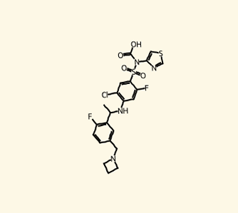 CC(Nc1cc(F)c(S(=O)(=O)N(C(=O)O)c2cscn2)cc1Cl)c1cc(CN2CCC2)ccc1F